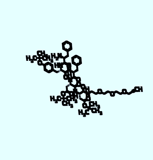 C#CCOCCOCCOCCNC(=O)[C@H](CC(=O)OC(C)(C)C)NC(=O)[C@H](CC(=O)OC(C)(C)C)NC(=O)[C@H](Cc1ccccc1)NC(=O)[C@H](Cc1ccc(OC(C)(C)C)cc1)NC(=O)[C@@H](N)Cc1ccccc1